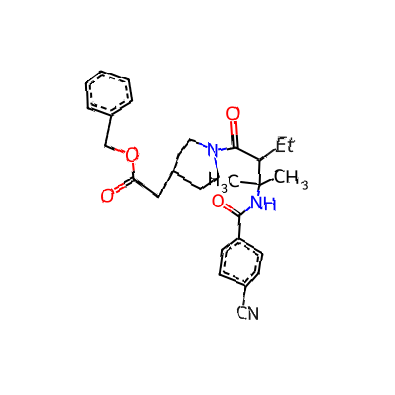 CCC(C(=O)N1CCC(CC(=O)OCc2ccccc2)CC1)C(C)(C)NC(=O)c1ccc(C#N)cc1